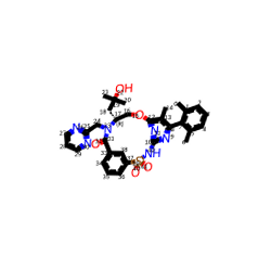 Cc1cccc(C)c1-c1nc2nc(c1C)OC[C@@H](CC(C)(C)O)N(Cc1ncccn1)C(=O)c1cccc(c1)S(=O)(=O)N2